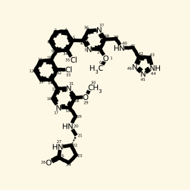 COc1nc(-c2cccc(-c3cccc(-c4cnc(CNC[C@@H]5CCC(=O)N5)c(OC)n4)c3Cl)c2Cl)cnc1CNCc1c[nH]nn1